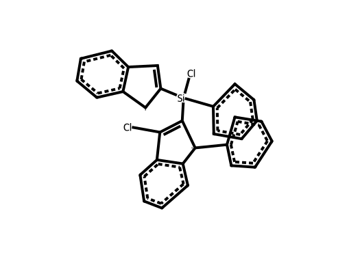 ClC1=C([Si](Cl)(C2=Cc3ccccc3[CH]2)c2ccccc2)[C](c2ccccc2)c2ccccc21